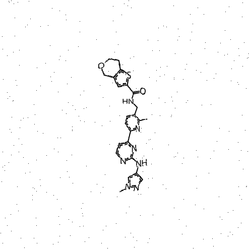 Cc1nc(-c2ccnc(Nc3cnn(C)c3)n2)ccc1CNC(=O)c1cc2c(s1)CCOC2